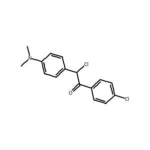 CN(C)c1ccc(C(Cl)C(=O)c2ccc(Cl)cc2)cc1